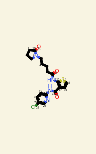 O=C(CCCCN1CCCC1=O)Nc1sccc1C(=O)Nc1ccc(Cl)cn1